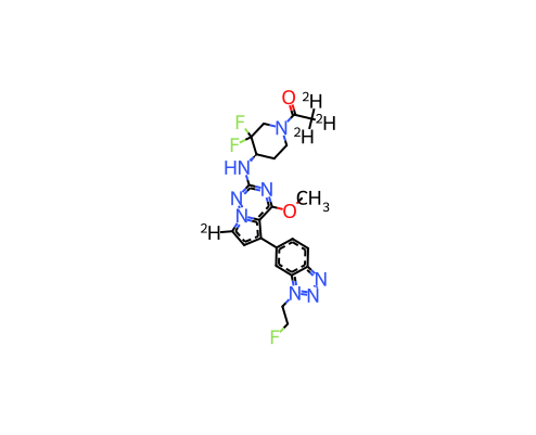 [2H]c1cc(-c2ccc3nnn(CCF)c3c2)c2c(OC)nc(N[C@@H]3CCN(C(=O)C([2H])([2H])[2H])CC3(F)F)nn12